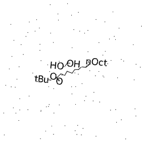 CCCCCCCC/C=C\CCCCCCCC(=O)OCC(C)(C)C.OCCO